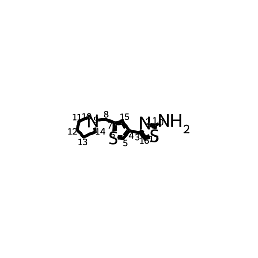 Nc1nc(-c2csc(CN3CCCCC3)c2)cs1